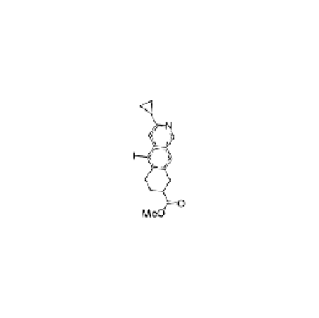 COC(=O)C1CCc2c(cc3cnc(C4CC4)cc3c2I)C1